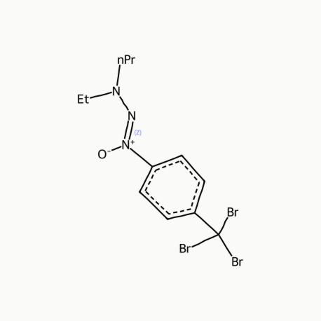 CCCN(CC)/N=[N+](\[O-])c1ccc(C(Br)(Br)Br)cc1